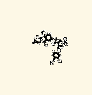 CCn1c(=O)n(CC2CC2)c(=O)c2cc(NC(=O)[C@H]3CN(C(C)=O)CC3COc3ccc(C#N)c(Cl)c3)ccc21